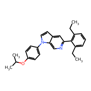 CCc1cccc(CC)c1-c1cc2ccn(-c3ccc(OC(C)C)cc3)c2cn1